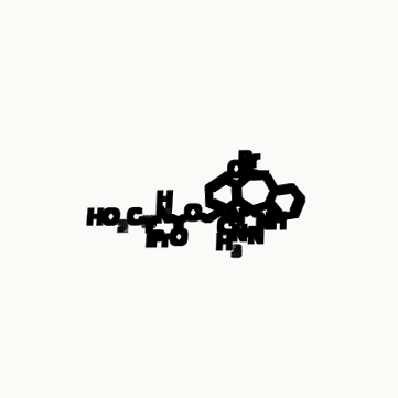 Cc1ccc2oc3c(Br)c2c1C1(NN=NN1CCOC(=O)N[C@H](C(=O)O)C(C)C)c1ccccc1-3